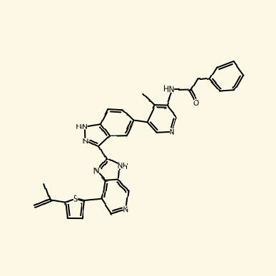 C=C(C)c1ccc(-c2cncc3[nH]c(-c4n[nH]c5ccc(-c6cncc(NC(=O)Cc7ccccc7)c6C)cc45)nc23)s1